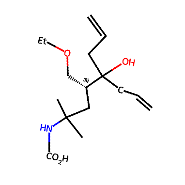 C=CCC(O)(CC=C)[C@@H](COCC)CC(C)(C)NC(=O)O